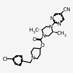 C[C@@H]1CN(c2ncc(C#N)cn2)[C@@H](C)CN1C(=O)OC1CCN(Cc2ccc(Cl)cc2)CC1